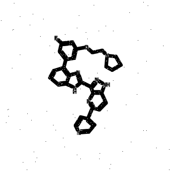 Fc1cc(OCCN2CCCC2)cc(-c2cccc3[nH]c(-c4n[nH]c5ccc(-c6ccncc6)nc45)nc23)c1